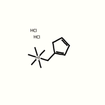 Cl.Cl.[CH3][Hf]([CH3])([CH3])([CH3])([CH3])[CH2]C1=CC=CC1